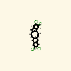 Clc1cc2c(cc1Cl)CC1=C(/C=C\C3=CC(/C=C\1)c1cc(Cl)c(Cl)cc1C3)C2